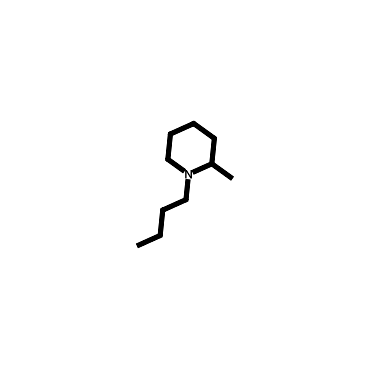 CCCCN1CCCCC1C